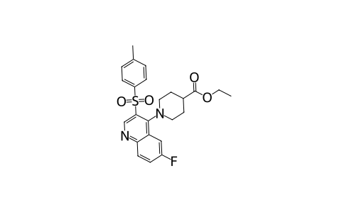 CCOC(=O)C1CCN(c2c(S(=O)(=O)c3ccc(C)cc3)cnc3ccc(F)cc23)CC1